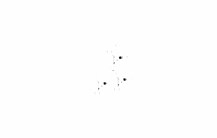 O=[N+]([O-])[O-].O=[N+]([O-])[O-].O=[N+]([O-])[O-].[Fe].[O-]